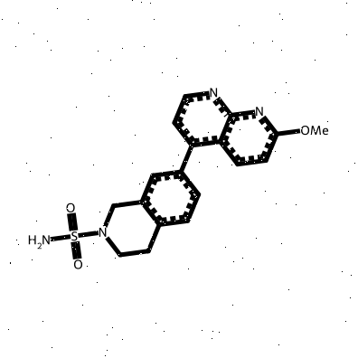 COc1ccc2c(-c3ccc4c(c3)CN(S(N)(=O)=O)CC4)ccnc2n1